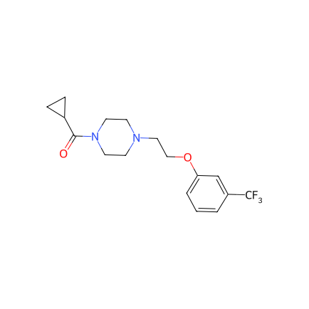 O=C(C1CC1)N1CCN(CCOc2cccc(C(F)(F)F)c2)CC1